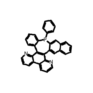 c1ccc(P2c3ccccc3-c3c(c4ncccc4c4cccnc34)-c3cc4ccccc4cc32)cc1